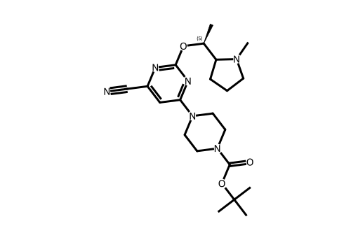 C[C@H](Oc1nc(C#N)cc(N2CCN(C(=O)OC(C)(C)C)CC2)n1)C1CCCN1C